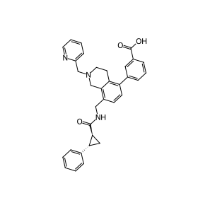 O=C(O)c1cccc(-c2ccc(CNC(=O)[C@H]3C[C@@H]3c3ccccc3)c3c2CCN(Cc2ccccn2)C3)c1